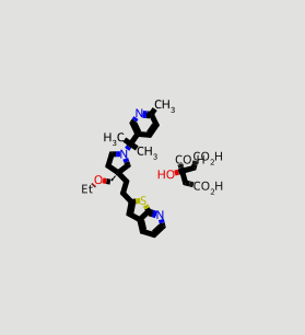 CCOC[C@]1(CCc2cc3cccnc3s2)CCN(C(C)(C)c2ccc(C)nc2)C1.O=C(O)CC(O)(CC(=O)O)C(=O)O